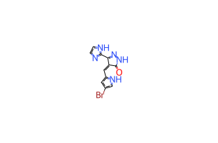 O=C1NN=C(c2ncc[nH]2)C1=Cc1cc(Br)c[nH]1